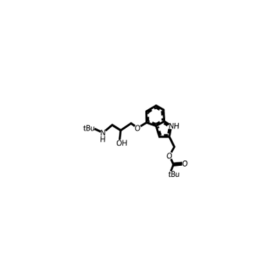 CC(C)(C)NCC(O)COc1cccc2[nH]c(COC(=O)C(C)(C)C)cc12